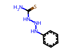 NC(=S)NNNc1ccccc1